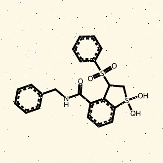 O=C(NCc1ccccc1)c1cccc2c1C(S(=O)(=O)c1ccccc1)CS2(O)O